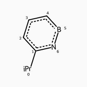 CC(C)c1cccbn1